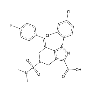 CN(C)S(=O)(=O)N1C/C(=C\c2ccc(F)cc2)c2c(c(C(=O)O)nn2-c2ccc(Cl)cc2Cl)C1